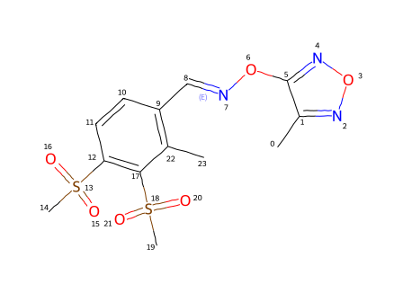 Cc1nonc1O/N=C/c1ccc(S(C)(=O)=O)c(S(C)(=O)=O)c1C